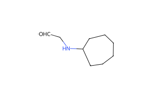 O=[C]CNC1CCCCCC1